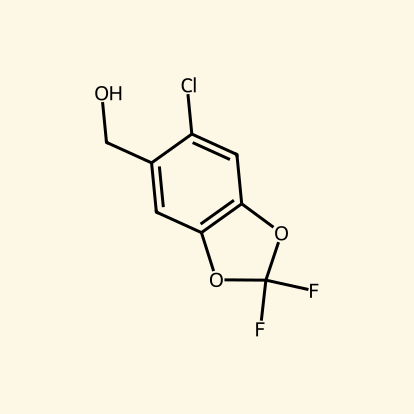 OCc1cc2c(cc1Cl)OC(F)(F)O2